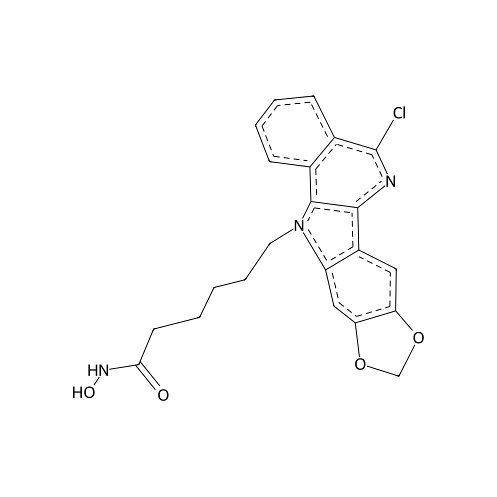 O=C(CCCCCn1c2cc3c(cc2c2nc(Cl)c4ccccc4c21)OCO3)NO